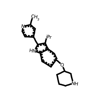 Cc1cc(-c2[nH]c3ccc(OC4CCCNC4)cc3c2C(C)C)ccn1